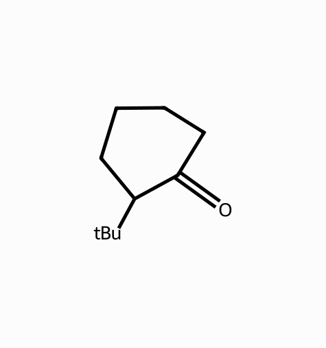 CC(C)(C)C1CCCCC1=O